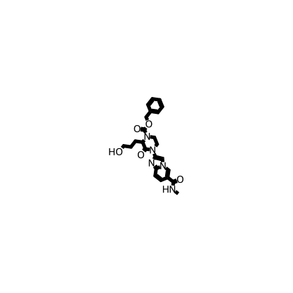 CNC(=O)c1ccc2nc(N3CCN(C(=O)OCc4ccccc4)C(CCCO)C3=O)cn2c1